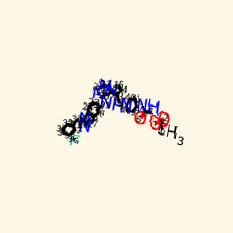 CC(=O)OCC(=O)NC1CCN(Cc2ccn3ncnc(Nc4ccc5c(cnn5Cc5cccc(F)c5)c4)c23)CC1